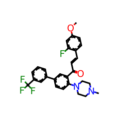 COc1ccc(C=CC(=O)c2cc(-c3cccc(C(F)(F)F)c3)ccc2N2CCN(C)CC2)c(F)c1